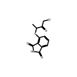 CC(Sc1cccc2c1C(=O)NC2=O)C(=O)CCl